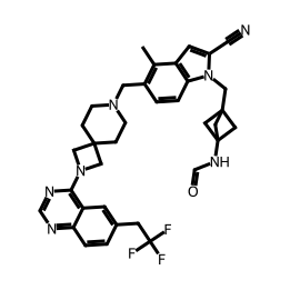 Cc1c(CN2CCC3(CC2)CN(c2ncnc4ccc(CC(F)(F)F)cc24)C3)ccc2c1cc(C#N)n2CC12CC(NC=O)(C1)C2